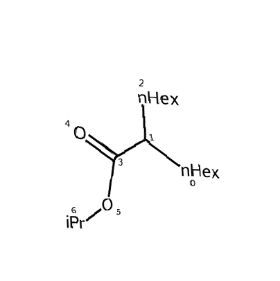 CCCCCCC(CCCCCC)C(=O)OC(C)C